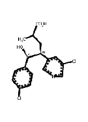 CC(C[C@@H](c1cncc(Cl)c1)[C@H](O)c1ccc(Cl)cc1)C(=O)O